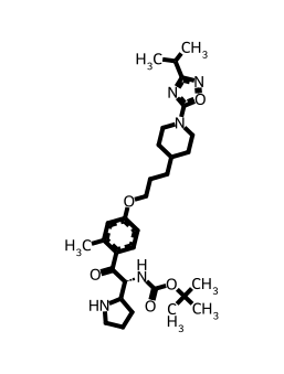 Cc1cc(OCCCC2CCN(c3nc(C(C)C)no3)CC2)ccc1C(=O)[C@H](NC(=O)OC(C)(C)C)C1CCCN1